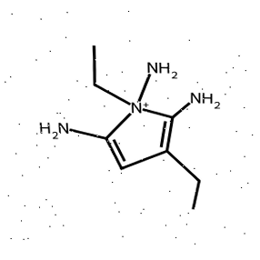 CCC1=C(N)[N+](N)(CC)C(N)=C1